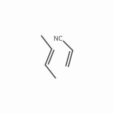 C=CC#N.CC=CC